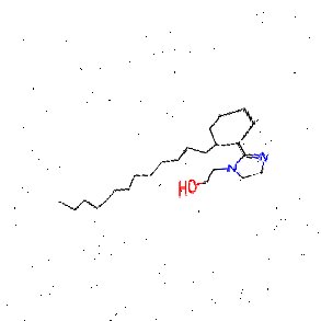 CCCCCCCCCCCCC1CCCCC1C1=NCCN1CCO